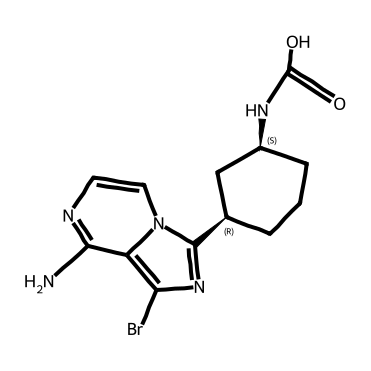 Nc1nccn2c([C@@H]3CCC[C@H](NC(=O)O)C3)nc(Br)c12